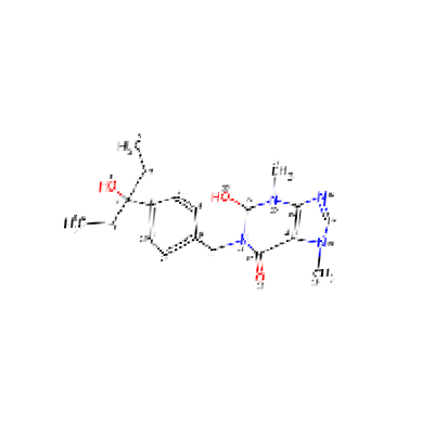 CCC(O)(CC)c1ccc(CN2C(=O)c3c(ncn3C)N(C)C2O)cc1